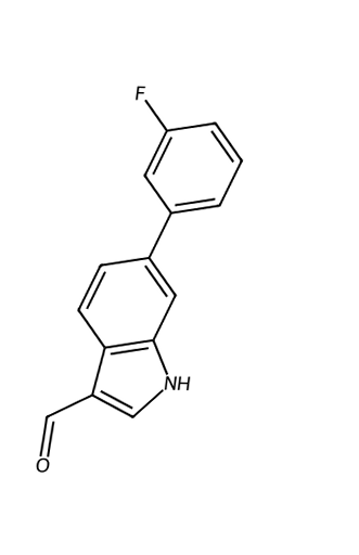 O=Cc1c[nH]c2cc(-c3cccc(F)c3)ccc12